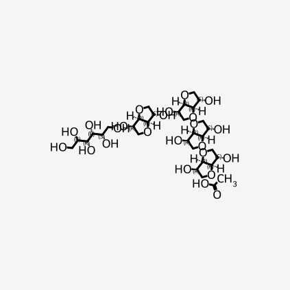 CC(=O)O.OC[C@@H](O)[C@@H](O)[C@H](O)[C@@H](O)CO.O[C@@H]1CO[C@H]2[C@@H]1OC[C@@H]2O.O[C@@H]1CO[C@H]2[C@@H]1OC[C@@H]2O.O[C@@H]1CO[C@H]2[C@@H]1OC[C@@H]2O.O[C@@H]1CO[C@H]2[C@@H]1OC[C@@H]2O